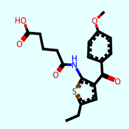 CCc1cc(C(=O)c2ccc(OC)cc2)c(NC(=O)CCCC(=O)O)s1